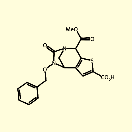 COC(=O)C1c2sc(C(=O)O)cc2C2CN1C(=O)N2OCc1ccccc1